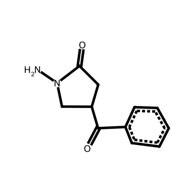 NN1CC(C(=O)c2ccccc2)CC1=O